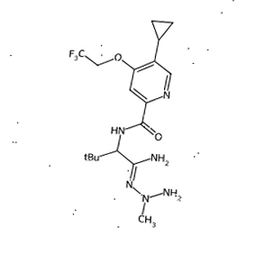 CN(N)/N=C(\N)C(NC(=O)c1cc(OCC(F)(F)F)c(C2CC2)cn1)C(C)(C)C